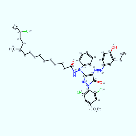 CCOC(=O)c1cc(Cl)c(-n2[nH]c(N(NC(=O)CCCCCCCCCC(C)CCC(C)Cl)c3ccccc3)c(/N=N/c3ccc(O)c(CC(C)C)c3)c2=O)c(Cl)c1